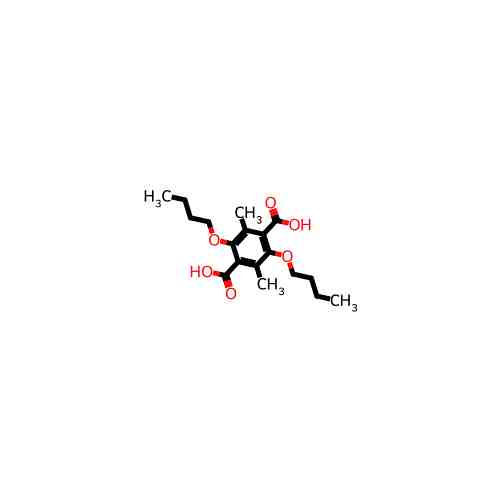 CCCCOc1c(C)c(C(=O)O)c(OCCCC)c(C)c1C(=O)O